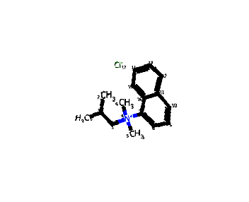 CC(C)C[N+](C)(C)c1cccc2ccccc12.[Cl-]